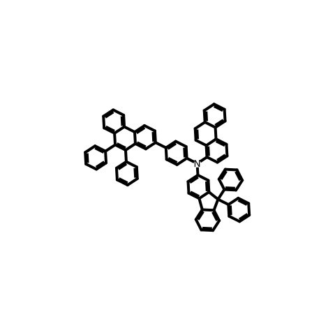 c1ccc(-c2c(-c3ccccc3)c3cc(-c4ccc(N(c5ccc6c(c5)C(c5ccccc5)(c5ccccc5)c5ccccc5-6)c5cccc6c5ccc5ccccc56)cc4)ccc3c3ccccc23)cc1